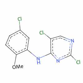 COc1ccc(Cl)cc1Nc1nc(Cl)ncc1Cl